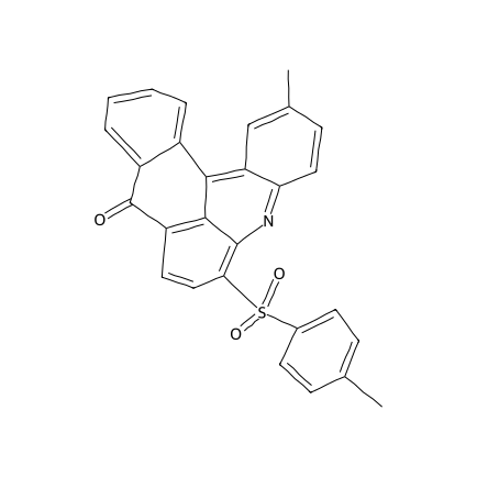 Cc1ccc(S(=O)(=O)c2ccc3c4c(c5cc(C)ccc5nc24)-c2ccccc2C3=O)cc1